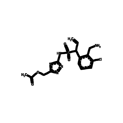 C=CC(c1cccc(Cl)c1CN)S(=O)(=O)Nc1nnc(COC(C)=O)s1